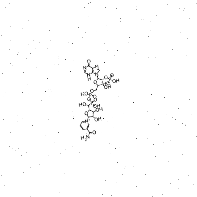 NC(=O)c1ccc[n+]([C@@H]2O[C@@H](C(O)P(=O)(O)OP(=O)(O)OC[C@H]3O[C@@H](n4cnc5c(=O)nc[nH]c54)[C@H](OP(=O)(O)O)[C@@H]3O)[C@@H](O)[C@H]2O)c1